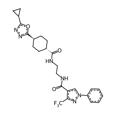 O=C(NCCNC(=O)[C@H]1CC[C@H](c2nnc(C3CC3)o2)CC1)c1cn(-c2ccccc2)nc1C(F)(F)F